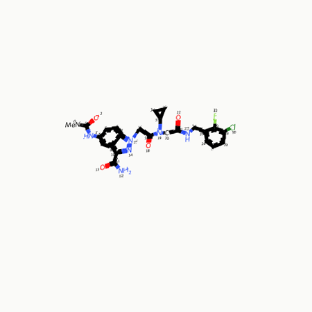 CNC(=O)Nc1ccc2c(c1)c(C(N)=O)nn2CC(=O)N(CC(=O)NCc1cccc(Cl)c1F)C1CC1